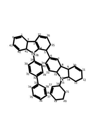 C1=CC2C3=C(C(C4=CC5C6C=CCCC6N(C6C=CCCC6)C5C=C4)CC=C3)N(c3ccc(-c4ccccc4)cc3)C2C=C1